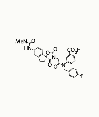 CNC(=O)Nc1ccc2c(c1)CC[C@@]21OC(=O)N(CC(=O)N(Cc2ccc(F)cc2)c2cccc(C(=O)O)c2)C1=O